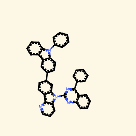 c1ccc(-c2nc(-n3c4cc(-c5ccc6c(c5)c5ccccc5n6-c5ccccc5)ccc4c4ncccc43)nc3ccccc23)cc1